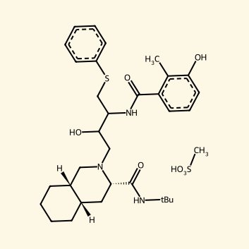 CS(=O)(=O)O.Cc1c(O)cccc1C(=O)NC(CSc1ccccc1)C(O)CN1C[C@H]2CCCC[C@H]2C[C@H]1C(=O)NC(C)(C)C